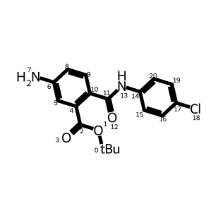 CC(C)(C)OC(=O)c1cc(N)ccc1C(=O)Nc1ccc(Cl)cc1